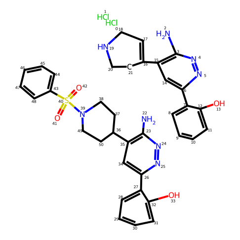 Cl.Cl.Nc1nnc(-c2ccccc2O)cc1C1=CCNCC1.Nc1nnc(-c2ccccc2O)cc1C1CCN(S(=O)(=O)c2ccccc2)CC1